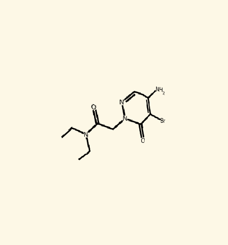 CCN(CC)C(=O)Cn1ncc(N)c(Br)c1=O